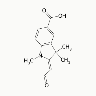 CN1/C(=C\C=O)C(C)(C)c2cc(C(=O)O)ccc21